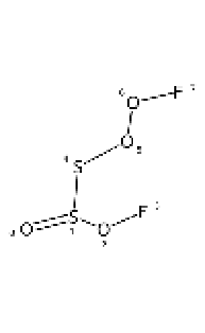 O=S(OF)SOOF